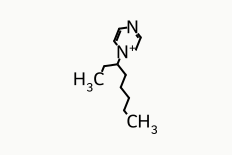 CCCCCC(CC)[n+]1ccncc1